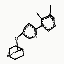 Cc1cccc(-c2ccc(OC3CN4CCC3CC4)cn2)c1C